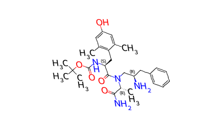 Cc1cc(O)cc(C)c1C[C@H](NC(=O)OC(C)(C)C)C(=O)N(C[C@H](N)Cc1ccccc1)[C@H](C)C(N)=O